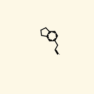 [CH]=CCc1ccc2c(c1)CCC2